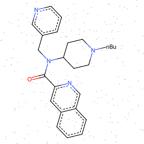 CCCCN1CCC(N(Cc2cccnc2)C(=O)c2cc3ccccc3cn2)CC1